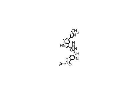 Cn1cc(-c2cnc3[nH]cc(C4NN=C(Nc5ccc(C(=O)NCC6CC6)cc5Cl)O4)c3c2)cn1